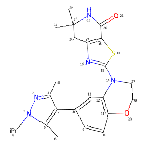 Cc1nn(C(C)C)c(C)c1-c1ccc2c(c1)N(c1nc3c(s1)C(=O)NC(C)(C)C3)CCO2